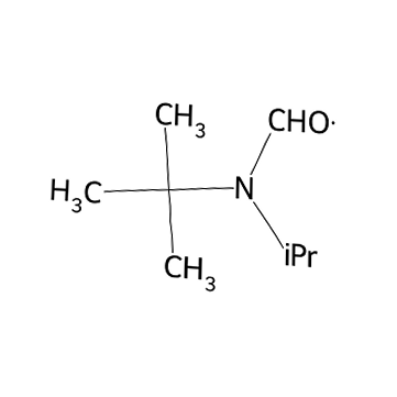 CC(C)N([C]=O)C(C)(C)C